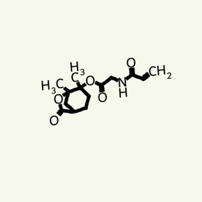 C=CC(=O)NCC(=O)OC1(C)CCC2CC1(C)OC2=O